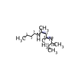 CCCCN/C(C)=C\C(C)=N\C(C)CC